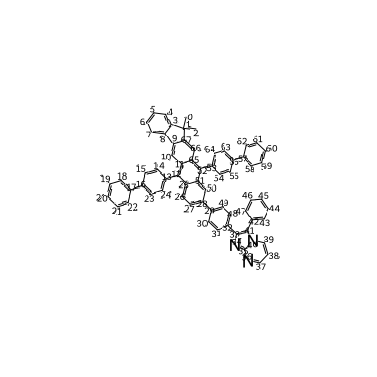 CC1(C)c2ccccc2-c2cc3c(-c4ccc(-c5ccccc5)cc4)c4ccc(-c5ccc(-c6nc7ncccn7c6-c6ccccc6)cc5)cc4c(-c4ccc(-c5ccccc5)cc4)c3cc21